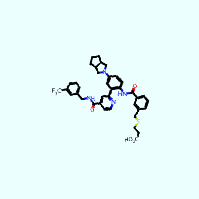 O=C(O)CCSCc1cccc(C(=O)Nc2ccc(N3CC4CCCC4C3)cc2-c2cc(C(=O)NCc3cccc(C(F)(F)F)c3)ccn2)c1